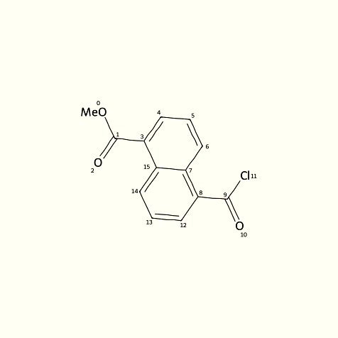 COC(=O)c1cccc2c(C(=O)Cl)cccc12